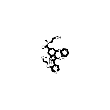 CN(CCO)C(=O)C1CC(=O)c2c([nH]c(-c3ccncc3OCCO)c2Nc2ccccc2)C1